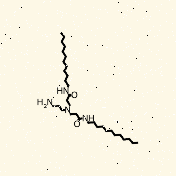 CCCCCCCCCCCCNC(=O)CCN(CCCN)CCC(=O)NCCCCCCCCCCCC